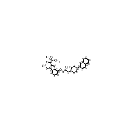 CC(C)Cn1c(C(=O)N(C)C)cc2c(OCC(O)CN3CCC(c4ccc5ccccc5c4)CC3)cccc21